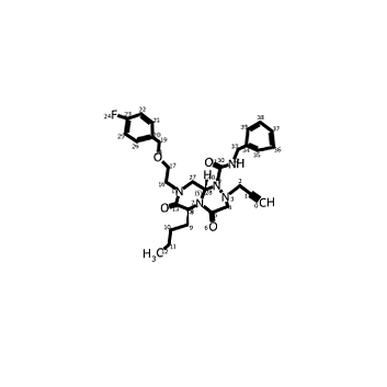 C#CCN1CC(=O)N2[C@@H](CCCC)C(=O)N(CCOCc3ccc(F)cc3)C[C@@H]2N1C(=O)NCc1ccccc1